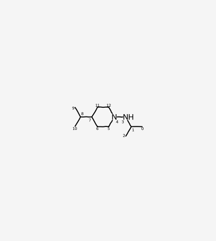 CC(C)NN1CCC(C(C)C)CC1